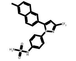 Cc1ccc2cc(-c3cc(C(F)(F)F)nn3-c3ccc(NS(N)(=O)=O)cc3)ccc2c1